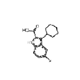 O=C(O)c1[nH]c2ccc(F)cc2c1C1CCCCC1